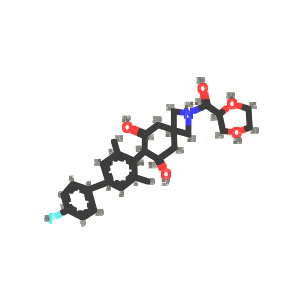 Cc1cc(-c2ccc(F)cc2)cc(C)c1C1C(=O)CC2(CC1=O)CN(C(=O)C1COCCO1)C2